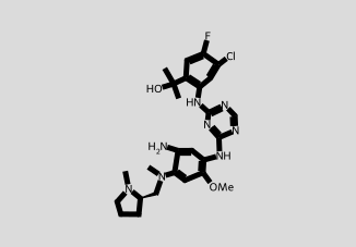 COc1cc(N(C)C[C@H]2CCCN2C)c(N)cc1Nc1ncnc(Nc2cc(Cl)c(F)cc2C(C)(C)O)n1